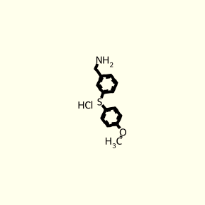 COc1ccc(Sc2cccc(CN)c2)cc1.Cl